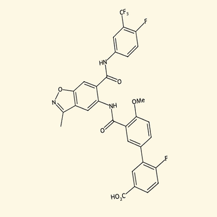 COc1ccc(-c2cc(C(=O)O)ccc2F)cc1C(=O)Nc1cc2c(C)noc2cc1C(=O)Nc1ccc(F)c(C(F)(F)F)c1